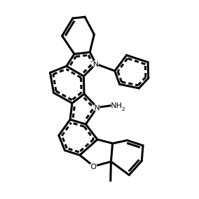 CC12C=CC=CC1c1c(ccc3c4ccc5c6c(n(-c7ccccc7)c5c4n(N)c13)CCC=C6)O2